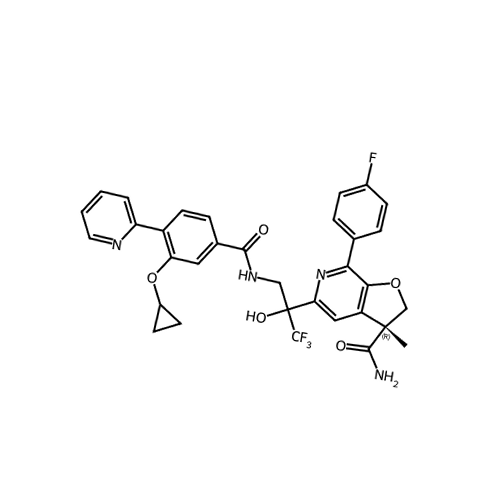 C[C@]1(C(N)=O)COc2c1cc(C(O)(CNC(=O)c1ccc(-c3ccccn3)c(OC3CC3)c1)C(F)(F)F)nc2-c1ccc(F)cc1